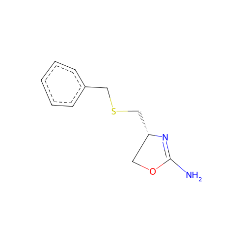 NC1=N[C@@H](CSCc2ccccc2)CO1